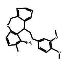 COc1ccc(CCC2c3ccccc3COc3ccc(F)c(N)c32)cc1OC